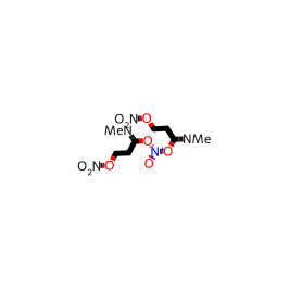 CNC(CCO[N+](=O)[O-])O[N+](=O)OC(CCO[N+](=O)[O-])NC